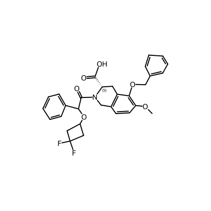 COc1ccc2c(c1OCc1ccccc1)C[C@@H](C(=O)O)N(C(=O)C(OC1CC(F)(F)C1)c1ccccc1)C2